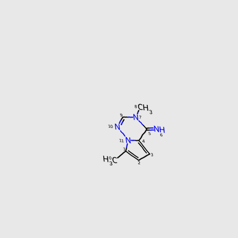 Cc1ccc2c(=N)n(C)cnn12